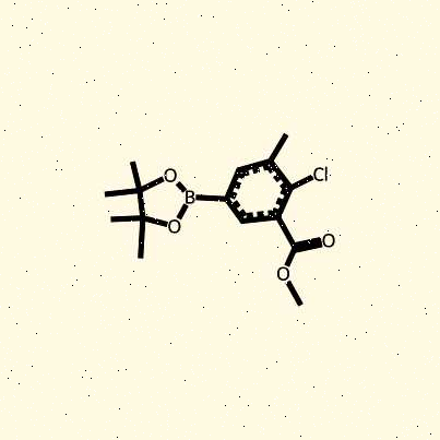 COC(=O)c1cc(B2OC(C)(C)C(C)(C)O2)cc(C)c1Cl